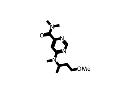 COCCC(C)N(C)c1cc(C(=O)N(C)C)ncn1